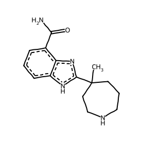 CC1(c2nc3c(C(N)=O)cccc3[nH]2)CCCNCC1